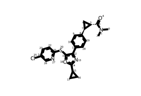 CN(C)C(=O)[C@H]1C[C@@H]1c1ccc(-c2nc(C3CC3)oc2Sc2ccc(Cl)cn2)cc1